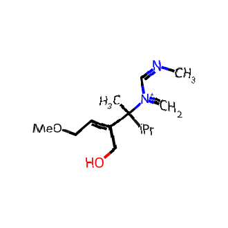 C=[N+](/C=N\C)C(C)(/C(=C/COC)CO)C(C)C